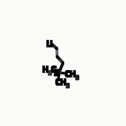 [Li][CH2]CC[Si](C)(C)C